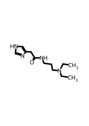 CCN(CC)CCCNC(=O)Cc1c[nH]cn1